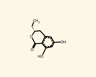 CC[C@@H]1Cc2cc(O)cc(O)c2C(=O)O1